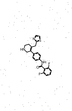 O=C(Nc1ccc(C2=C(Cc3nccs3)CCNC2)cc1)c1c(F)cccc1F